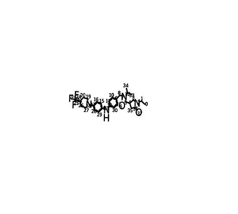 CCN1CC(C(=O)N(Cc2ccc(Nc3ccc(N4CCC(C(F)(F)F)CC4)cc3)cc2)C(C)C)CC1=O